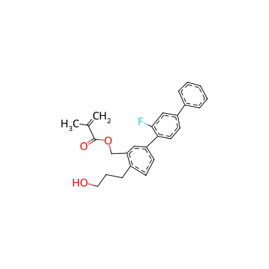 C=C(C)C(=O)OCc1cc(-c2ccc(-c3ccccc3)cc2F)ccc1CCCO